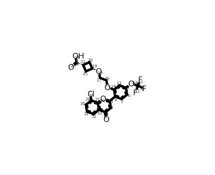 O=c1cc(-c2ccc(OC(F)(F)F)cc2OCCO[C@H]2C[C@@H](C(=O)O)C2)oc2c(Cl)cccc12